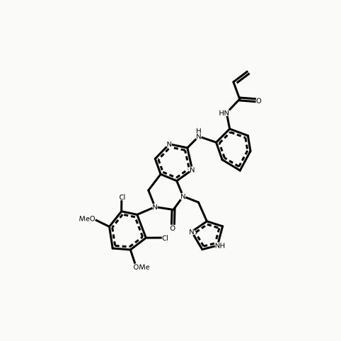 C=CC(=O)Nc1ccccc1Nc1ncc2c(n1)N(Cc1c[nH]cn1)C(=O)N(c1c(Cl)c(OC)cc(OC)c1Cl)C2